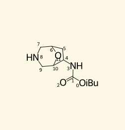 CC(C)COC(=O)NC1CC2CNCC1O2